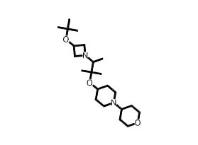 CC(N1CC(OC(C)(C)C)C1)C(C)(C)OC1CCN(C2CCOCC2)CC1